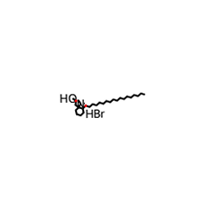 Br.CCCCCCCCCCCCCCCCCCC1CCCCC1(CCO)N(C)C